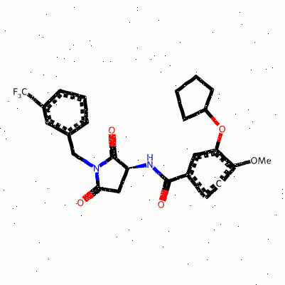 COc1ccc(C(=O)N[C@H]2CC(=O)N(Cc3cccc(C(F)(F)F)c3)C2=O)cc1OC1CCCC1